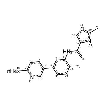 C=C(Nc1cc(-c2ccc(CCCCCC)nc2)ccc1C)c1coc(C)n1